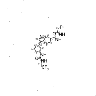 N=C(CF)OC(=N)c1ccn2c(-c3cccc(NC(=O)NCC(F)(F)F)c3)cnc2c1